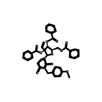 C=C[C@@]1(OC(=O)c2ccccc2)[C@H](OC(=O)c2ccccc2)[C@@H](COC(=O)c2ccccc2)O[C@H]1n1ccc(=O)n(Cc2ccc(OC)cc2)c1=O